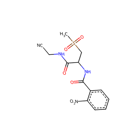 CS(=O)(=O)CC(NC(=O)c1ccccc1[N+](=O)[O-])C(=O)NCC#N